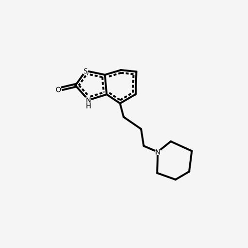 O=c1[nH]c2c(CCCN3CCCCC3)cccc2s1